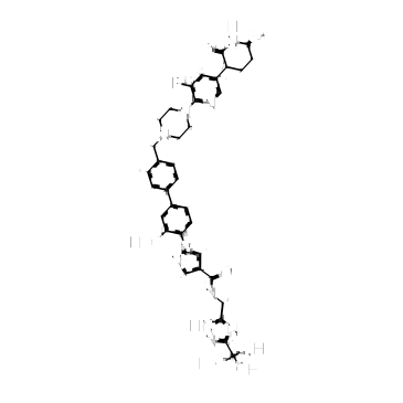 Cc1cc(-c2ccc(CN3CCN(c4ncc(C5CCC(=O)NC5=O)cc4F)CC3)cc2)ccc1-n1cc(C(=O)NCc2nc(C(C)(C)C(F)(F)F)n[nH]2)cn1